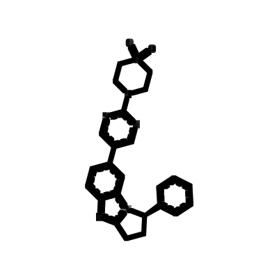 O=S1(=O)CCN(c2ncc(-c3ccc4nc5n(c4c3)[C@@H](c3ccccc3)CC5)cn2)CC1